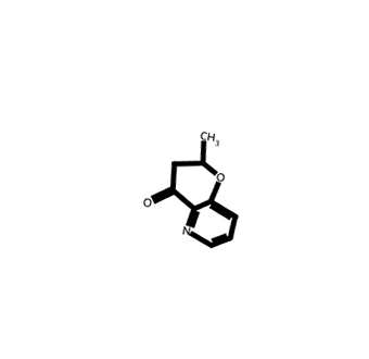 CC1CC(=O)c2ncccc2O1